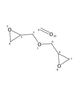 C(OCC1CO1)C1CO1.C=O